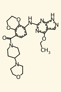 CCOc1nc(Nc2ccc(C(=O)N3CCC(N4CCOCC4)CC3)c3c2OCCO3)nc2[nH]ncc12